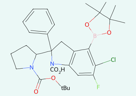 CC(C)(C)OC(=O)N1CCCC1C1(c2ccccc2)Cc2c(cc(F)c(Cl)c2B2OC(C)(C)C(C)(C)O2)N1C(=O)O